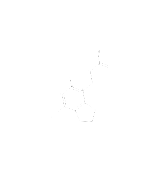 NC(=O)CCc1c(Cl)cc(F)c2c1CCO2